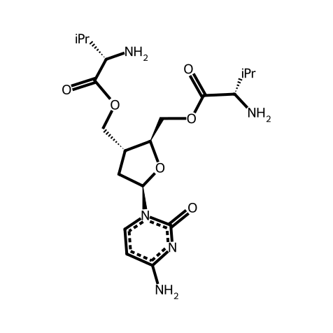 CC(C)[C@H](N)C(=O)OC[C@H]1C[C@H](n2ccc(N)nc2=O)O[C@@H]1COC(=O)[C@@H](N)C(C)C